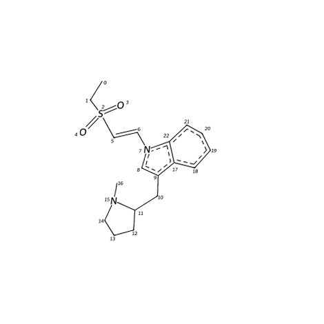 CCS(=O)(=O)C=Cn1cc(CC2CCCN2C)c2ccccc21